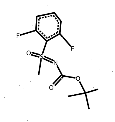 CC(C)(C)OC(=O)N=S(C)(=O)c1c(F)cccc1F